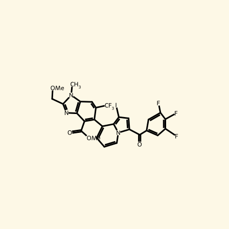 COCc1nc2c(C(=O)OC)c(-c3cccn4c(C(=O)c5cc(F)c(F)c(F)c5)cc(I)c34)c(C(F)(F)F)cc2n1C